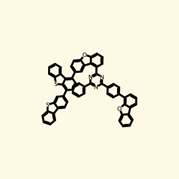 c1ccc(-c2nc(-c3ccc(-c4cccc5c4oc4ccccc45)cc3)nc(-c3cccc4oc5ccc(-c6ccc(-c7ccc8c(c7)sc7ccccc78)c7sc8ccccc8c67)cc5c34)n2)cc1